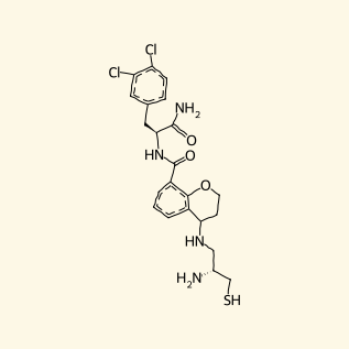 NC(=O)[C@H](Cc1ccc(Cl)c(Cl)c1)NC(=O)c1cccc2c1OCCC2NC[C@@H](N)CS